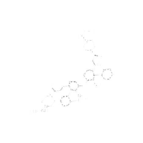 CC(C)c1ccccc1-c1c(/C=C/C(=O)N2CCN(NC=O)CC2)ccc(Sc2ccc(/C=C/C(=O)N3CCN(NC=O)CC3)c(-c3ccccc3C(C)C)c2[N+](=O)[O-])c1[N+](=O)[O-]